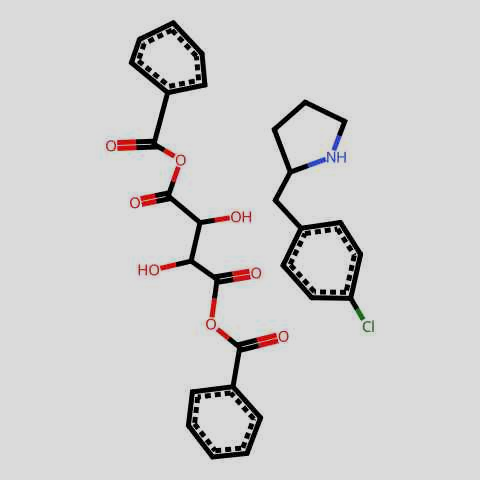 Clc1ccc(CC2CCCN2)cc1.O=C(OC(=O)C(O)C(O)C(=O)OC(=O)c1ccccc1)c1ccccc1